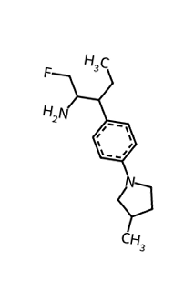 CCC(c1ccc(N2CCC(C)C2)cc1)C(N)CF